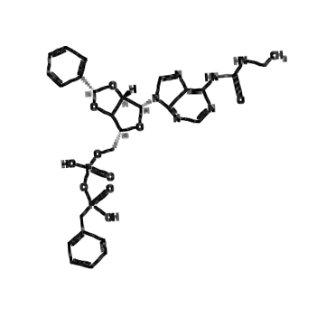 CCNC(=O)Nc1ncnc2c1ncn2[C@@H]1O[C@H](COP(=O)(O)OP(=O)(O)Cc2ccccc2)C2O[C@H](c3ccccc3)O[C@@H]21